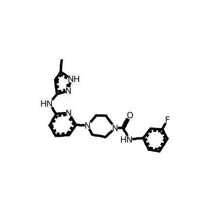 Cc1cc(Nc2cccc(N3CCN(C(=O)Nc4cccc(F)c4)CC3)n2)n[nH]1